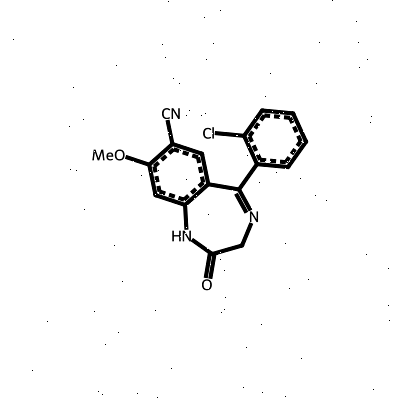 COc1cc2c(cc1C#N)C(c1ccccc1Cl)=NCC(=O)N2